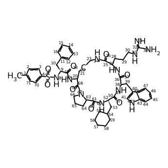 Cc1ccc(S(=O)(=O)N[C@@H](Cc2ccccc2)C(=O)NC2CCCNC(=O)C(CCCNC(=N)N)NC(=O)C(Cc3c[nH]c4ccccc34)NC(=O)[C@@H](CC3CCCCC3)NC(=O)C3CCCN3C2=O)cc1